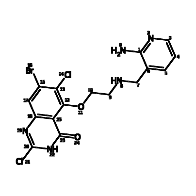 Nc1ncccc1CNCCOc1c(Cl)c(Br)cc2nc(Cl)[nH]c(=O)c12